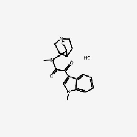 CN(C(=O)C(=O)c1cn(C)c2ccccc12)C1CN2CCC1CC2.Cl